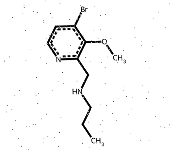 CCCNCc1nccc(Br)c1OC